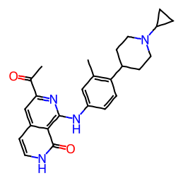 CC(=O)c1cc2cc[nH]c(=O)c2c(Nc2ccc(C3CCN(C4CC4)CC3)c(C)c2)n1